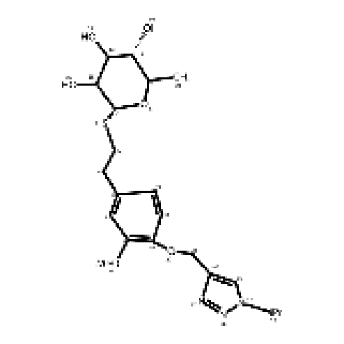 COc1cc(CCS[C@@H]2OC(C)[C@@H](O)C(O)C2O)ccc1OCc1cn(C(C)C)nn1